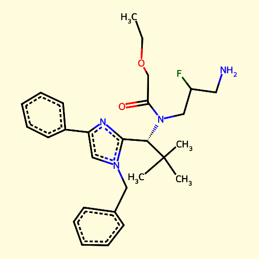 CCOCC(=O)N(CC(F)CN)[C@@H](c1nc(-c2ccccc2)cn1Cc1ccccc1)C(C)(C)C